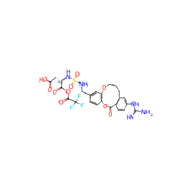 N=C(N)Nc1ccc2c(c1)CCCOc1cc(CNS(=O)(=O)N[C@@H](CC(=O)O)C(=O)OC(=O)C(F)(F)F)ccc1OC2=O